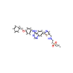 CS(=O)(=O)CCNCc1cnc(-c2ccc3c(Nc4ccc(OCc5ccccc5)cc4)ncnc3c2)s1